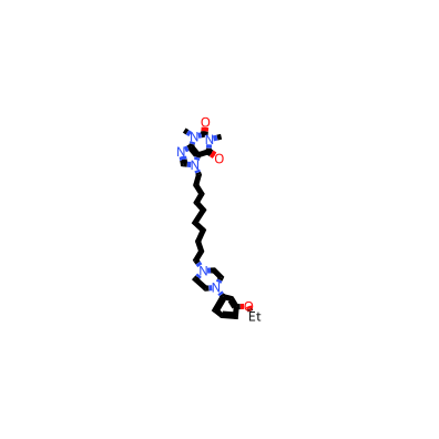 CCOc1cccc(N2CCN(CCCCCCCCCCn3cnc4c3c(=O)n(C)c(=O)n4C)CC2)c1